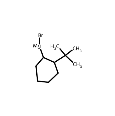 CC(C)(C)C1CCCC[CH]1[Mg][Br]